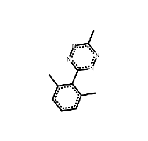 Cc1nnc(-c2c(C)cccc2C)nn1